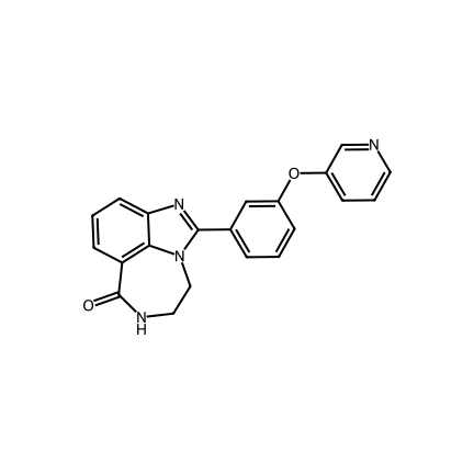 O=C1NCCn2c(-c3cccc(Oc4cccnc4)c3)nc3cccc1c32